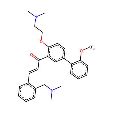 CN(C)CCOc1ccc(-c2ccccc2OC(F)(F)F)cc1C(=O)C=Cc1ccccc1CN(C)C